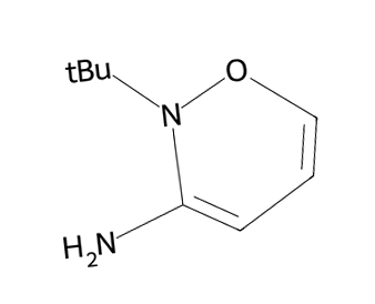 CC(C)(C)N1OC=CC=C1N